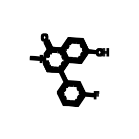 Cn1cc(-c2cccc(F)c2)c2cc(O)ccc2c1=O